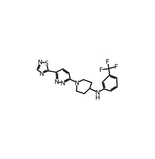 FC(F)(F)c1cccc(NC2CCN(c3ccc(-c4ncns4)nn3)CC2)c1